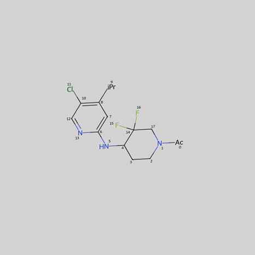 CC(=O)N1CCC(Nc2cc(C(C)C)c(Cl)cn2)C(F)(F)C1